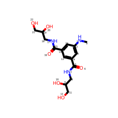 CNc1cc(C(=O)NCC(O)CO)cc(C(=O)NCC(O)CO)c1